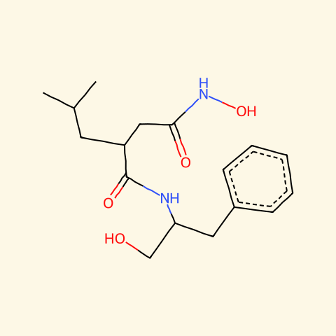 CC(C)CC(CC(=O)NO)C(=O)NC(CO)Cc1ccccc1